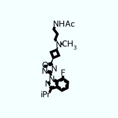 CC(=O)NCCCN(C)[C@H]1C[C@@H](c2nc(-n3nc(C(C)C)c4cccc(F)c43)no2)C1